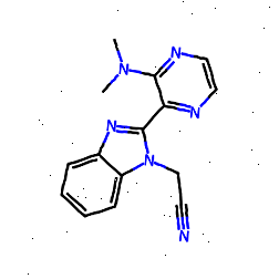 CN(C)c1nccnc1-c1nc2ccccc2n1CC#N